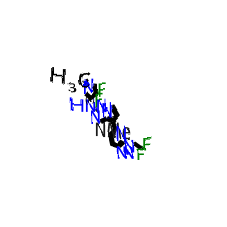 CNc1nc(N[C@@H]2CN(C)CC2(F)F)nn2ccc(-c3ccc4nnn(CC(F)F)c4n3)c12